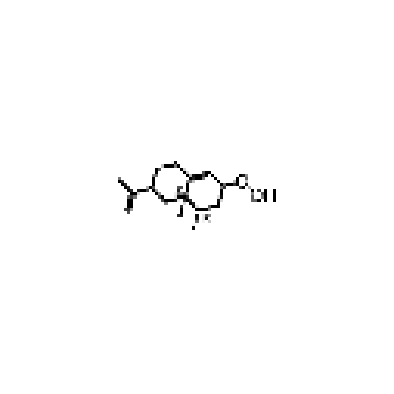 C=C(C)C1CCC2=CC(OO)C[C@@H](C)[C@]2(C)C1